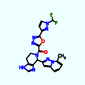 Cc1cccc2cc(C3c4nc[nH]c4CCN3C(=O)c3nnc(-c4ccn(C(F)F)n4)o3)nn12